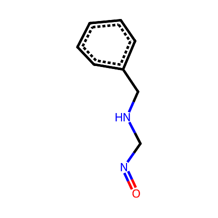 O=NCNCc1ccccc1